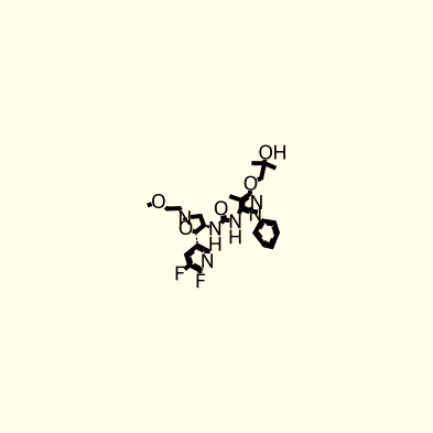 COCCN1C[C@@H](NC(=O)Nc2c(C)c(OCC(C)(C)O)nn2-c2ccccc2)[C@H](c2cnc(F)c(F)c2)O1